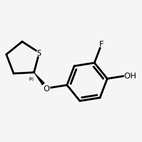 Oc1ccc(O[C@H]2CCCS2)cc1F